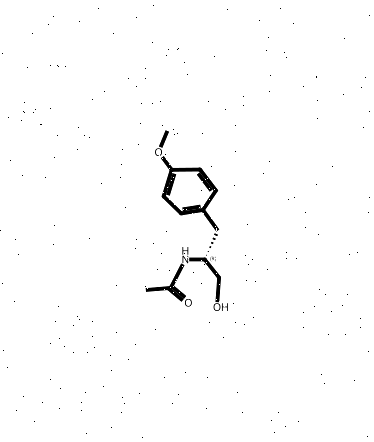 COc1ccc(C[C@H](CO)NC(C)=O)cc1